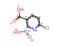 O=C(O)c1ccc(Cl)nc1.O=NO